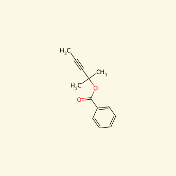 CC#CC(C)(C)OC(=O)c1ccccc1